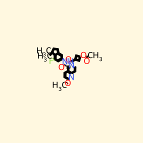 COc1ccc2c(n1)CCN(C(=O)C1CC(OC(C)=O)C1)[C@H]2C(=O)Nc1cc(F)c2c(c1)CCC2(C)C